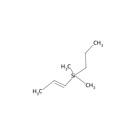 CC=C[Si](C)(C)CCC